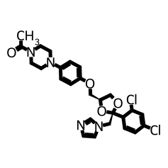 CC(=O)N1CCN(c2ccc(OC[C@H]3CO[C@](Cn4ccnc4)(C4C=CC(Cl)=CC4Cl)O3)cc2)CC1